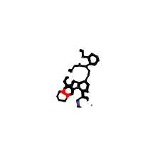 C=CC1=NC2CC(=C)[n+]3ccc(C4CCCCC4)cc3-c3c(cc4sc(N=C)c(/C=C\C)c4c3-c3ccccc3)CCC2c2ccccc21